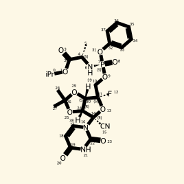 CC(C)OC(=O)[C@H](C)N[P@](=O)(OC[C@@]1(F)O[C@@](C#N)(n2ccc(=O)[nH]c2=O)[C@@H]2OC(C)(C)O[C@@H]21)Oc1ccccc1